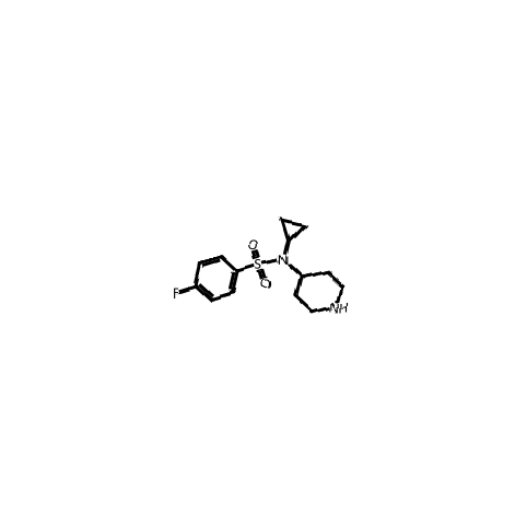 O=S(=O)(c1ccc(F)cc1)N(C1CCNCC1)C1CC1